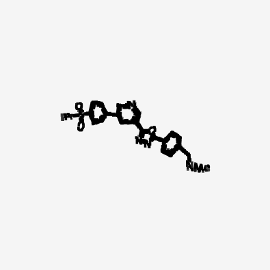 CNCc1ccc(-c2nnc(-c3cncc(-c4ccc(S(=O)(=O)C(C)C)cc4)c3)o2)cc1